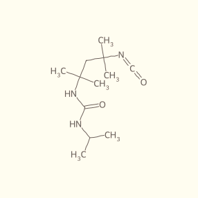 CC(C)NC(=O)NC(C)(C)CC(C)(C)N=C=O